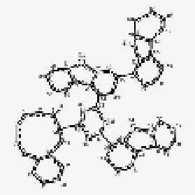 Cc1cccccc2ccccc2cc1-c1nc(-c2cccc3c2sc2ccccc23)nc(-c2cc(-c3cccc4c3oc3ccccc34)cc3oc4ccccc4c23)n1